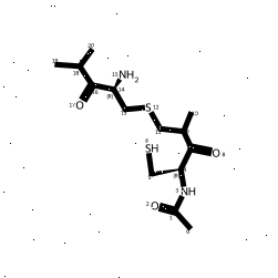 CC(=O)N[C@@H](CS)C(=O)C(C)CSC[C@H](N)C(=O)C(C)C